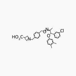 CC(=NOCc1ccc(CN2CC(C(=O)O)C2)cc1)C(Oc1ccc(C)c(C)c1)c1cccc(Cl)c1